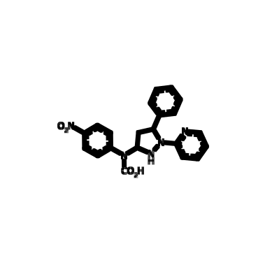 O=C(O)N(c1ccc([N+](=O)[O-])cc1)C1CC(c2ccccc2)N(c2ccccn2)N1